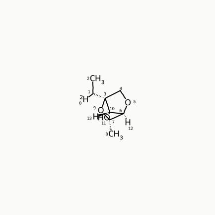 [2H]C(C)[C@@]12CO[C@@H]([C@H](C)O1)[C@@H]2O